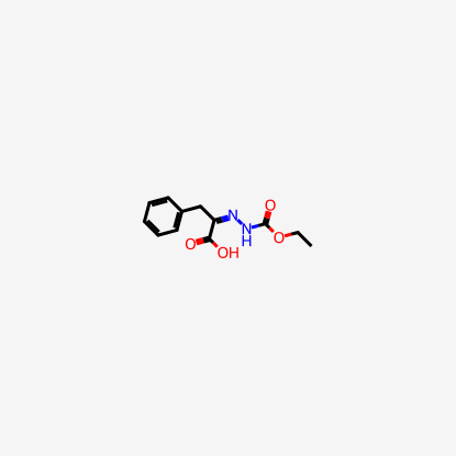 CCOC(=O)N/N=C(/Cc1ccccc1)C(=O)O